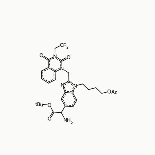 CC(=O)OCCCCn1c(Cn2c(=O)n(CC(F)(F)F)c(=O)c3ccccc32)nc2cc(C(N)C(=O)OC(C)(C)C)ccc21